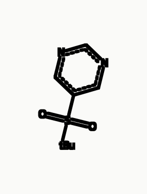 CC(C)(C)S(=O)(=O)c1cncnc1